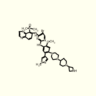 COc1cc(N2CCN(C3CCN(C4CNC4)CC3)CC2)c(-c2cnn(C)c2)cc1Nc1ncc(Br)c(Nc2ccc3nccnc3c2P(C)(C)=O)n1